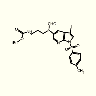 Cc1ccc(S(=O)(=O)n2cc(I)c3cc(N(C=O)CCCNC(=O)OC(C)(C)C)cnc32)cc1